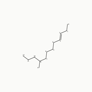 CCC=CCCCCC(C)CCC